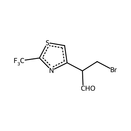 O=CC(CBr)c1csc(C(F)(F)F)n1